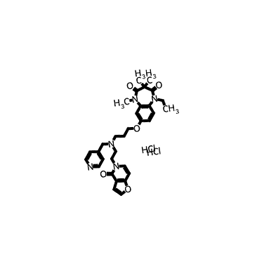 CCN1C(=O)C(C)(C)C(=O)N(C)c2cc(OCCCN(CCn3ccc4occc4c3=O)Cc3ccncc3)ccc21.Cl.Cl